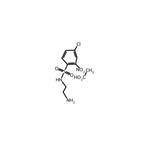 CC(=O)O.NCCNS(=O)(=O)c1ccc(Cl)cc1[N+](=O)[O-]